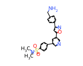 CN(C)S(=O)(=O)c1ccc(-c2cncc(-c3cc(-c4ccc(CN)cc4)no3)c2)cc1